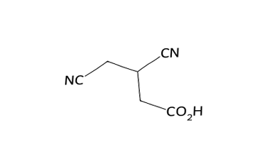 N#CCC(C#N)CC(=O)O